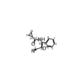 N#Cc1oc2ccccc2c1NC(=O)C1CC1